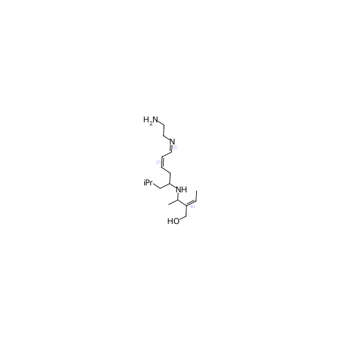 C/C=C(/CO)C(C)NC(C/C=C\C=N/CCN)CC(C)C